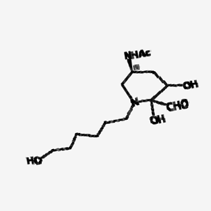 CC(=O)N[C@H]1CC(O)C(O)(C=O)N(CCCCCCO)C1